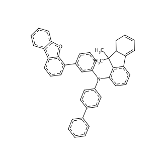 CC1(C)c2c(cccc2N(c2ccc(-c3ccccc3)cc2)c2cccc(-c3cccc4c3oc3ccccc34)c2)C2=CC=CCC21